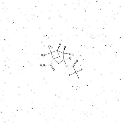 C[C@@H]1[C@@H](OC(=O)C(F)(F)F)C[C@]2(C(N)=O)C[C@@H]1C2(C)C